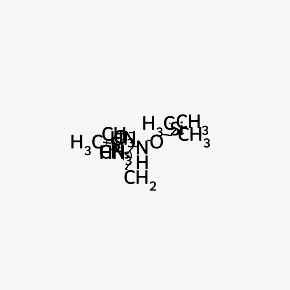 C=CC[C@H](N[S@@+]([O-])C(C)(C)C)C(=N)NCOCC[Si](C)(C)C